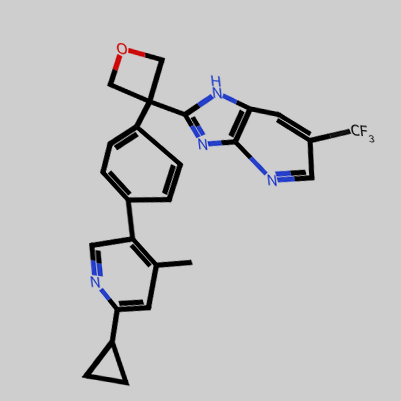 Cc1cc(C2CC2)ncc1-c1ccc(C2(c3nc4ncc(C(F)(F)F)cc4[nH]3)COC2)cc1